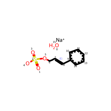 O.O=S(=O)([O-])OC/C=C/c1ccccc1.[Na+]